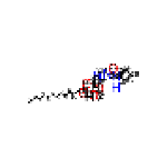 CCCCCCCCCCCCO[C@H]1O[C@H](CN2CCN(C(=O)Nc3ccc(C)cc3)CC2)[C@@H]2OC(C)(C)O[C@H]12